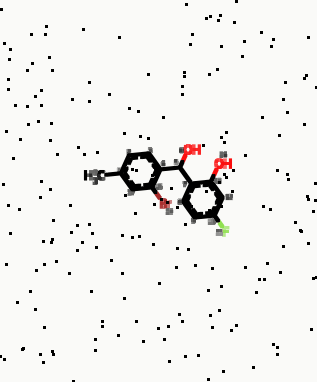 Cc1ccc(C(O)c2ccc(F)cc2O)c(Br)c1